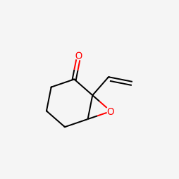 C=CC12OC1CCCC2=O